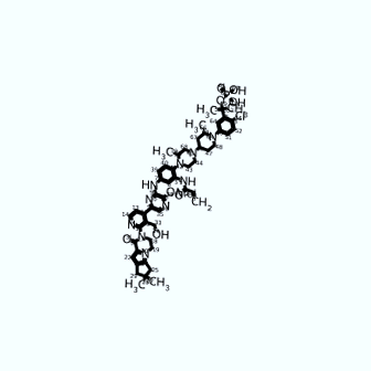 C=CC(=O)Nc1cc(Nc2nc(-c3ccnc(N4CCn5c(cc6c5CC(C)(C)C6)C4=O)c3CO)cnc2OC)ccc1N1CCN(C2CCN(c3ccc(Cl)c(C(C)(C)OP(=O)(O)O)c3)[C@@H](C)C2)C[C@@H]1C